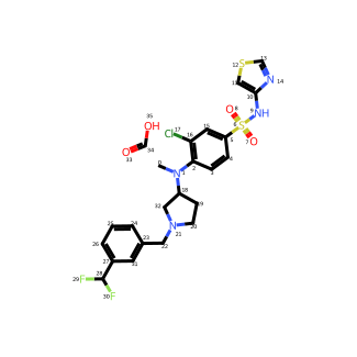 CN(c1ccc(S(=O)(=O)Nc2cscn2)cc1Cl)C1CCN(Cc2cccc(C(F)F)c2)C1.O=CO